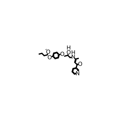 CCCC(OC)Oc1ccc(OCC(O)CNC(C)=CC(=O)c2cccnc2)cc1